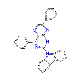 c1ccc(-c2cnc3c(-c4ccccc4)nc(-n4c5ccccc5c5ccccc54)nc3n2)cc1